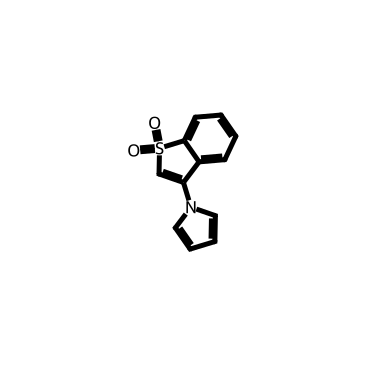 O=S1(=O)C=C(n2cccc2)c2ccccc21